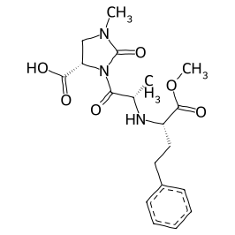 COC(=O)[C@H](CCc1ccccc1)N[C@@H](C)C(=O)N1C(=O)N(C)C[C@H]1C(=O)O